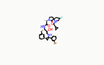 C[C@@H](C(=O)N[C@@H](Cc1ccccc1)[C@H](O)CNC1(c2cccc(Br)c2)CC1)N1CCC2(CC(F)CN2CC2CC2)C1=O